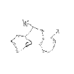 [CH2]c1ccccc1NC(C)c1ccccc1